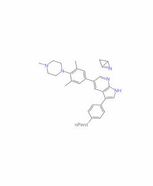 C1C2=NC12.CCCCCc1ccc(-c2c[nH]c3ncc(-c4cc(C)c(N5CCN(C)CC5)c(C)c4)cc23)cc1